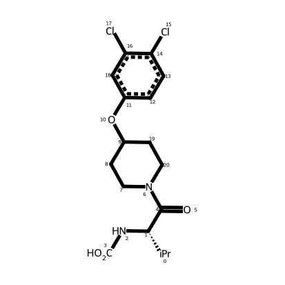 CC(C)[C@H](NC(=O)O)C(=O)N1CCC(Oc2ccc(Cl)c(Cl)c2)CC1